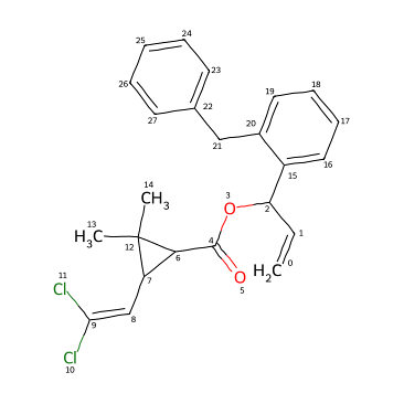 C=CC(OC(=O)C1C(C=C(Cl)Cl)C1(C)C)c1ccccc1Cc1ccccc1